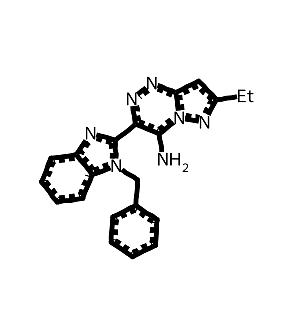 CCc1cc2nnc(-c3nc4ccccc4n3Cc3ccccc3)c(N)n2n1